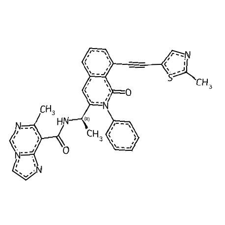 Cc1ncc(C#Cc2cccc3cc([C@@H](C)NC(=O)c4c(C)ncn5ccnc45)n(-c4ccccc4)c(=O)c23)s1